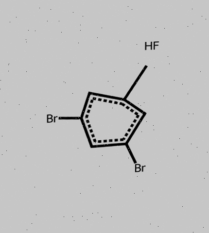 Cc1cc(Br)cc(Br)c1.F